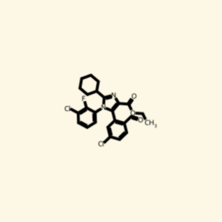 CCOC(=O)c1nc(C2CCCCC2)n(-c2cccc(Cl)c2F)c1-c1cc(Cl)ccc1C=O